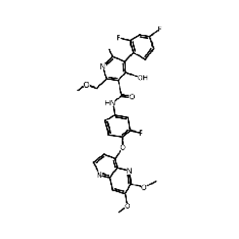 COCc1nc(C)c(-c2ccc(F)cc2F)c(O)c1C(=O)Nc1ccc(Oc2ccnc3cc(OC)c(OC)nc23)c(F)c1